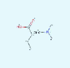 CCCC(=O)O.CN(C)C=O